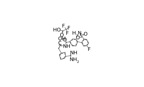 N=C(N)c1cccc(C[C@@H](CO)NC(=O)c2ccc(-c3cc(F)ccc3S(N)(=O)=O)cc2)c1.O=C(O)C(F)(F)F